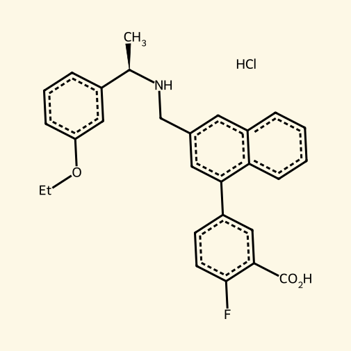 CCOc1cccc([C@@H](C)NCc2cc(-c3ccc(F)c(C(=O)O)c3)c3ccccc3c2)c1.Cl